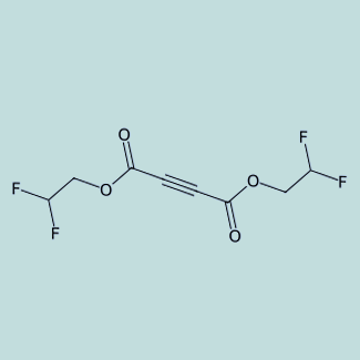 O=C(C#CC(=O)OCC(F)F)OCC(F)F